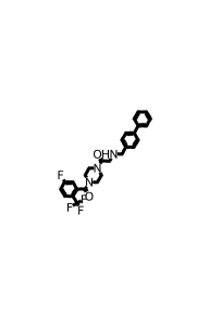 O=C(CNCc1ccc(-c2ccccc2)cc1)N1CCN(C(=O)c2cc(F)ccc2C(F)(F)F)CC1